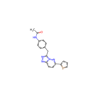 CC(=O)Nc1ccc(Cc2nnc3ccc(-c4cccs4)nn23)cc1